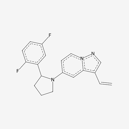 C=Cc1cnn2ccc(N3CCCC3c3cc(F)ccc3F)cc12